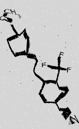 COc1ccc(CCc2ccc(C#N)cc2C(F)(F)F)cc1